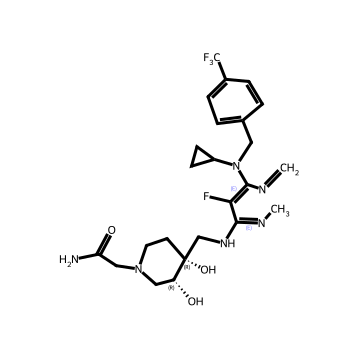 C=N/C(=C(F)\C(=N/C)NC[C@]1(O)CCN(CC(N)=O)C[C@H]1O)N(Cc1ccc(C(F)(F)F)cc1)C1CC1